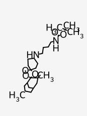 CC1CC2CC(C)C3(OOC4(CCC(NCCCCNC(=O)OC(C)(C)C)CC4)O3)C(C1)C2